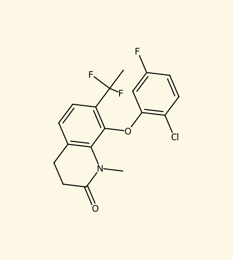 CN1C(=O)CCc2ccc(C(C)(F)F)c(Oc3cc(F)ccc3Cl)c21